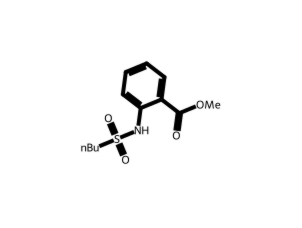 CCCCS(=O)(=O)Nc1ccccc1C(=O)OC